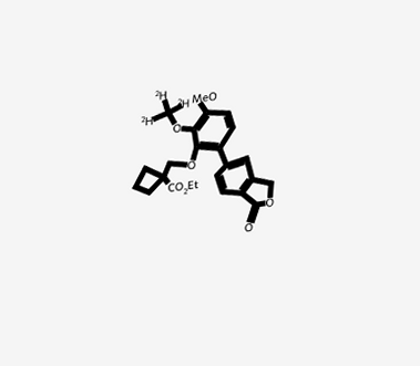 [2H]C([2H])([2H])Oc1c(OC)ccc(-c2ccc3c(c2)COC3=O)c1OCC1(C(=O)OCC)CCC1